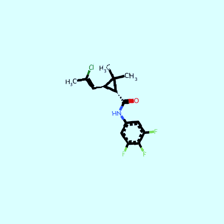 C/C(Cl)=C/[C@@H]1[C@@H](C(=O)Nc2cc(F)c(F)c(F)c2)C1(C)C